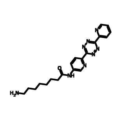 NCCCCCCCC(=O)Nc1ccc(-c2nnc(-c3ccccn3)nn2)nc1